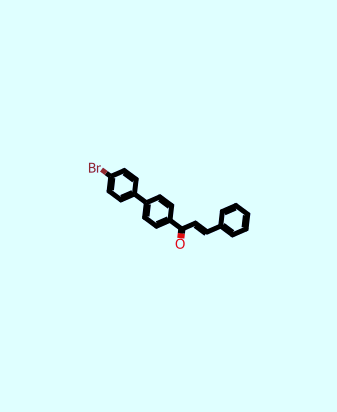 O=C(/C=C/c1ccccc1)c1ccc(-c2ccc(Br)cc2)cc1